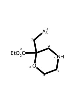 CCOC(=O)C1(CC(C)=O)CNCCO1